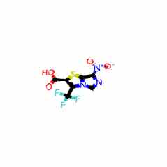 O=C(O)c1sc2c([N+](=O)[O-])ncn2c1C(F)(F)F